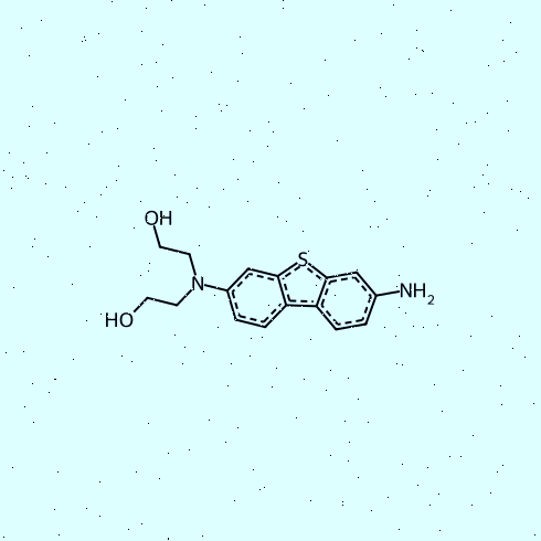 Nc1ccc2c(c1)sc1cc(N(CCO)CCO)ccc12